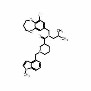 CC(C)CN(Cc1cc(Cl)c2c(c1)OCCCO2)C(=O)C1CCCN(Cc2cccc3c2ccn3C)C1